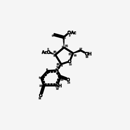 C=C(OC(C)=O)[C@H]1[C@@H](OC(C)=O)[C@H](n2ccc(=O)[nH]c2=O)O[C@@H]1CO